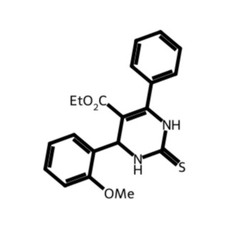 CCOC(=O)C1=C(c2ccccc2)NC(=S)NC1c1ccccc1OC